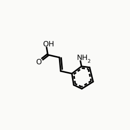 Nc1ccccc1C=CC(=O)O